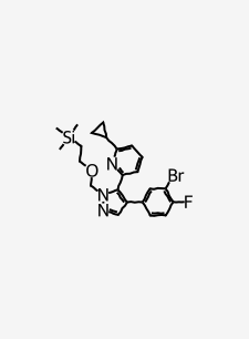 C[Si](C)(C)CCOCn1ncc(-c2ccc(F)c(Br)c2)c1-c1cccc(C2CC2)n1